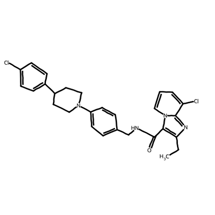 CCc1nc2c(Cl)cccn2c1C(=O)NCc1ccc(N2CCC(c3ccc(Cl)cc3)CC2)cc1